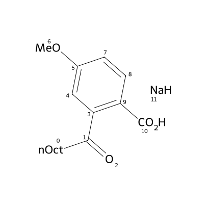 CCCCCCCCC(=O)c1cc(OC)ccc1C(=O)O.[NaH]